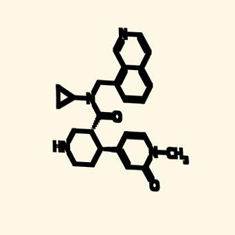 Cn1ccc([C@H]2CCNC[C@@H]2C(=O)N(Cc2cccc3ccncc23)C2CC2)cc1=O